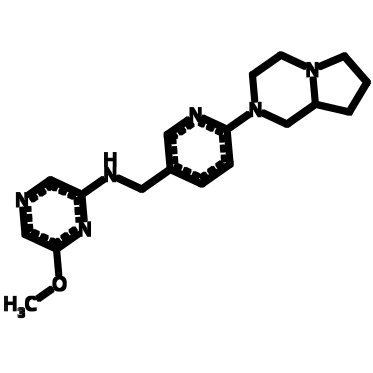 COc1cncc(NCc2ccc(N3CCN4CCCC4C3)nc2)n1